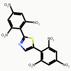 O=[N+]([O-])c1cc([N+](=O)[O-])c(-c2cnc(-c3c([N+](=O)[O-])cc([N+](=O)[O-])cc3[N+](=O)[O-])s2)c([N+](=O)[O-])c1